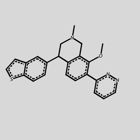 COc1c(-c2cccnn2)ccc2c1CN(C)CC2c1ccc2sccc2c1